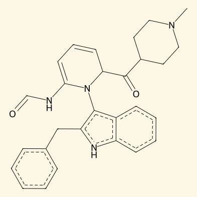 CN1CCC(C(=O)C2C=CC=C(NC=O)N2c2c(Cc3ccccc3)[nH]c3ccccc23)CC1